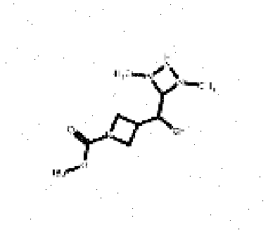 CN1NN(C)C1C(O)C1CN(C(=O)OC(C)(C)C)C1